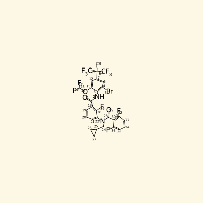 O=C(Nc1c(Br)cc(C(F)(C(F)(F)F)C(F)(F)F)cc1OC(F)F)c1cccc(N(CC2CC2)C(=O)c2c(F)cccc2F)c1F